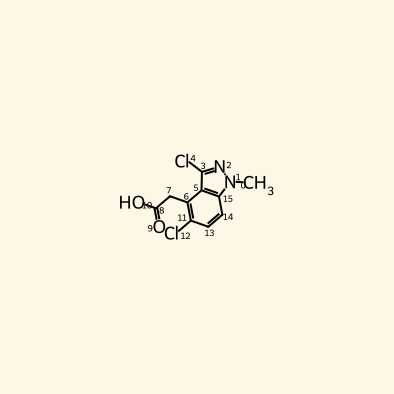 Cn1nc(Cl)c2c(CC(=O)O)c(Cl)ccc21